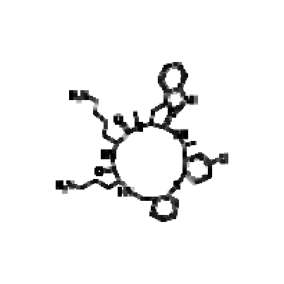 CC1NC(=O)C(Cc2c[nH]c3ccccc23)N(C)C(=O)C(CCCCN)NC(=O)C(CCCN)NCc2ccccc2Sc2ccc(Cl)cc21